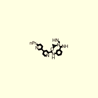 CCCc1ccc(-c2ccnc(C(=O)Nc3cccc(C(=N)N(C=N)C4CC4)c3)c2)cn1